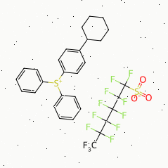 O=S(=O)([O-])C(F)(F)C(F)(F)C(F)(F)C(F)(F)C(F)(F)C(F)(F)F.c1ccc([S+](c2ccccc2)c2ccc(C3CCCCC3)cc2)cc1